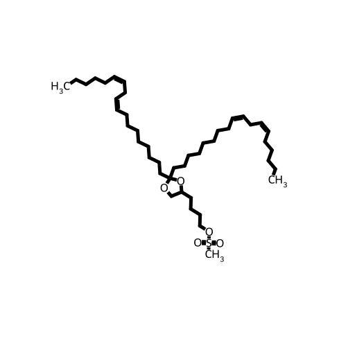 CCCCC/C=C\C/C=C\CCCCCCCCC1(CCCCCCCC/C=C\C/C=C\CCCCC)OCC(CCCCOS(C)(=O)=O)O1